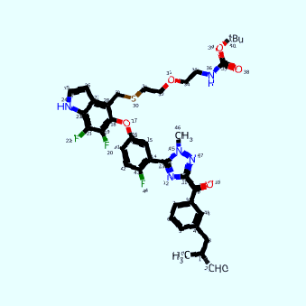 CC(C=O)Cc1cccc(C(=O)c2nc(-c3cc(Oc4c(F)c(F)c5[nH]ccc5c4CSCCOCCNC(=O)OC(C)(C)C)ccc3F)n(C)n2)c1